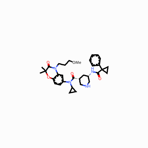 COCCCN1C(=O)C(C)(C)Oc2ccc(N(C(=O)[C@H]3CNC[C@@H](NC(=O)C4(c5ccccc5)CC4)C3)C3CC3)cc21